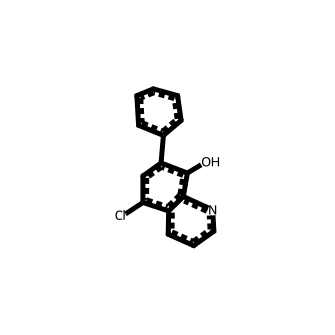 Oc1c(-c2ccccc2)cc(Cl)c2cccnc12